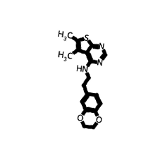 Cc1sc2ncnc(NCCc3ccc4c(c3)OCCO4)c2c1C